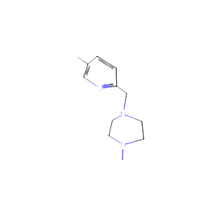 Fc1ccc(CN2CCN(I)CC2)nc1